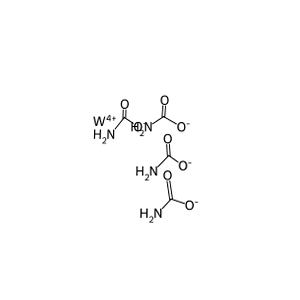 NC(=O)[O-].NC(=O)[O-].NC(=O)[O-].NC(=O)[O-].[W+4]